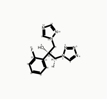 C[C@@H](n1cnnn1)[C@](O)(Cn1cncn1)c1ccccc1F